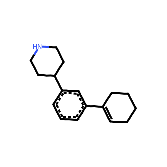 [c]1ccc(C2CCNCC2)cc1C1=CCCCC1